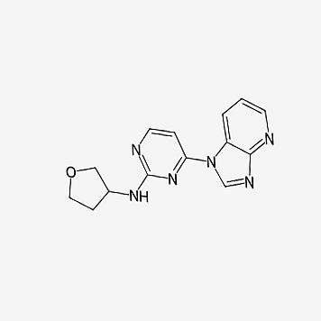 c1cnc2ncn(-c3ccnc(NC4CCOC4)n3)c2c1